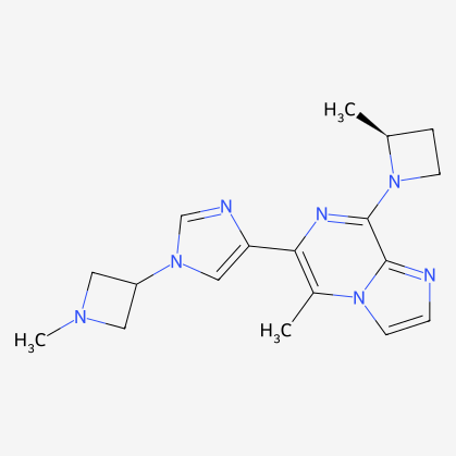 Cc1c(-c2cn(C3CN(C)C3)cn2)nc(N2CC[C@@H]2C)c2nccn12